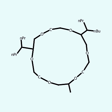 CCCCC(CCC)C1COCCOC(C)COCCOC(C(CCC)CCC)COCCO1